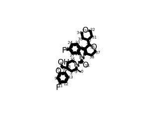 C[C@H]1C[C@](C(=O)O)(c2ccc(F)cc2)CCN1C(=O)n1c2c(c3ccc(F)cc31)C(C1CCOCC1)OCC2